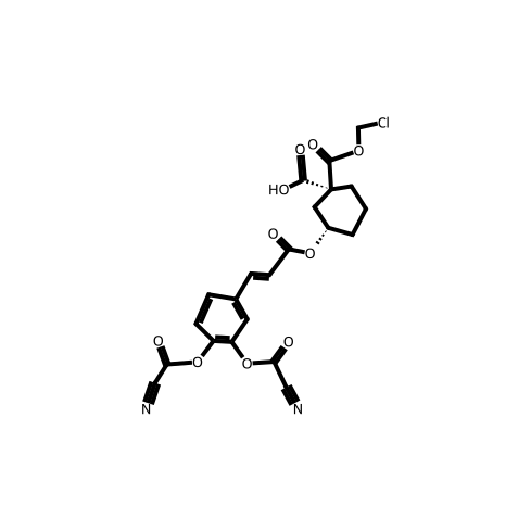 N#CC(=O)Oc1ccc(/C=C/C(=O)O[C@H]2CCC[C@](C(=O)O)(C(=O)OCCl)C2)cc1OC(=O)C#N